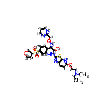 CCN(C)CCOc1ccc2nc(NC(=O)/C(=N/OCc3ncccn3)c3ccc(S(=O)(=O)[C@H]4CCOC4)cc3)sc2n1